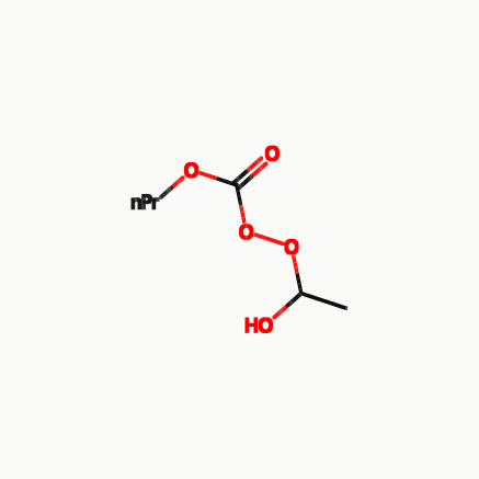 CCCOC(=O)OOC(C)O